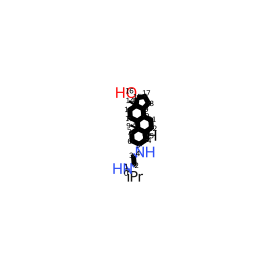 CC(C)NCCNC1CC[C@]2(C)C3CC[C@]4(C)C(O)CCC4C3CC[C@@H]2C1